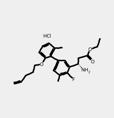 C=CCCCOc1cccc(C)c1-c1cc(C)c(F)c([C@@H](N)CC(=O)OCC)c1.Cl